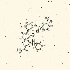 CNC(=O)c1nc2c(c(Nc3ccccc3)n1)C(=O)N(c1cc(NC(=O)c3cccc(C(F)(F)F)c3)ccc1C)CC2